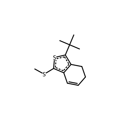 CSc1sc(C(C)(C)C)c2c1C=CCC2